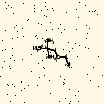 [SiH3]C([SiH3])([SiH3])COCCl